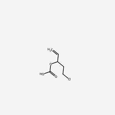 C=CC(CCCl)OC(=O)O